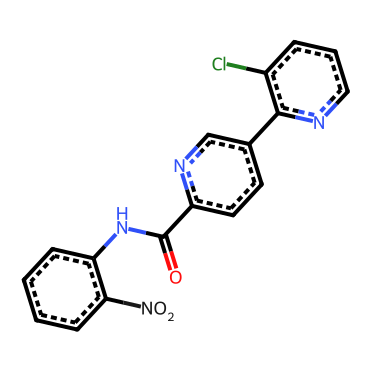 O=C(Nc1ccccc1[N+](=O)[O-])c1ccc(-c2ncccc2Cl)cn1